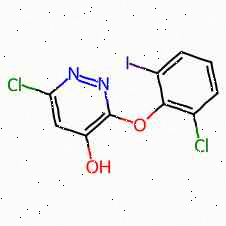 Oc1cc(Cl)nnc1Oc1c(Cl)cccc1I